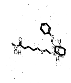 CN(O)C(=O)CCCCSCC[C@@H]1[C@H](CSc2ccccc2)[C@@H]2CC[C@H]1O2